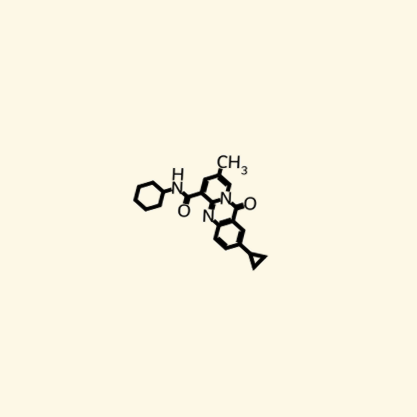 Cc1cc(C(=O)NC2CCCCC2)c2nc3ccc(C4CC4)cc3c(=O)n2c1